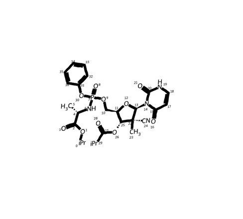 CC(C)OC(=O)[C@H](C)NP(=O)(OC[C@H]1O[C@@H](n2c(=O)cc[nH]c2=O)[C@](C)(C#N)[C@@H]1OC(=O)C(C)C)Oc1ccccc1